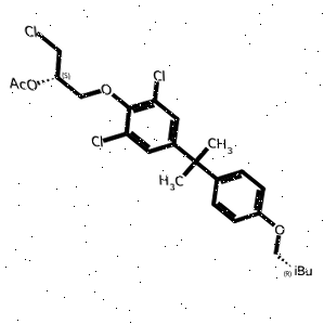 CC[C@@H](C)COc1ccc(C(C)(C)c2cc(Cl)c(OC[C@@H](CCl)OC(C)=O)c(Cl)c2)cc1